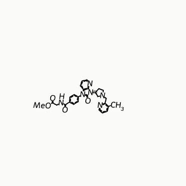 COC(=O)CNC(=O)c1ccc(-n2c(=O)n([C@H]3CCN(Cc4ncccc4C)C3)c3ncccc32)cc1